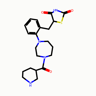 O=C1NC(=O)C(Cc2ccccc2N2CCCN(C(=O)C3CCCNC3)CC2)S1